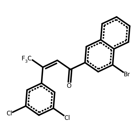 O=C(C=C(c1cc(Cl)cc(Cl)c1)C(F)(F)F)c1cc(Br)c2ccccc2c1